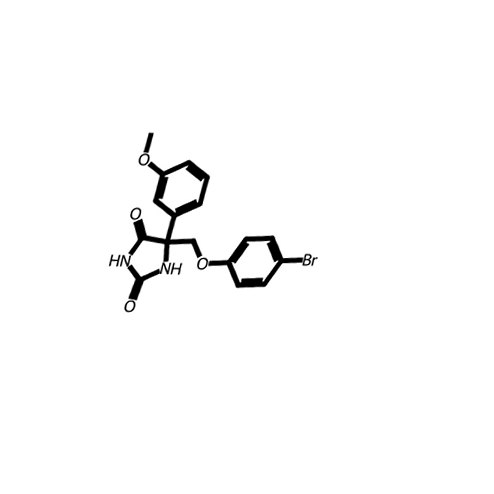 COc1cccc(C2(COc3ccc(Br)cc3)NC(=O)NC2=O)c1